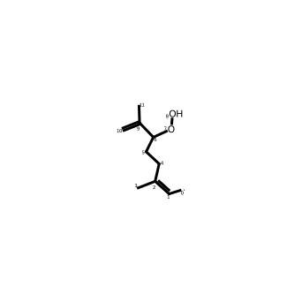 [CH2]C=C(C)CCC(OO)C(=C)C